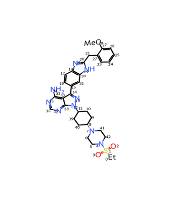 CCS(=O)(=O)N1CCN([C@H]2CC[C@H](n3nc(-c4ccc5nc(Cc6ccccc6OC)[nH]c5c4)c4c(N)ncnc43)CC2)CC1